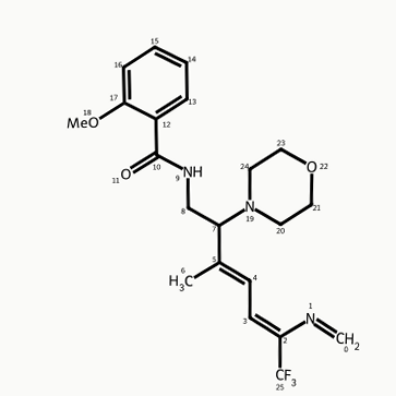 C=N/C(=C\C=C(/C)C(CNC(=O)c1ccccc1OC)N1CCOCC1)C(F)(F)F